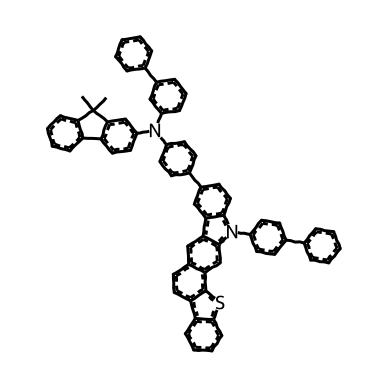 CC1(C)c2ccccc2-c2ccc(N(c3ccc(-c4ccc5c(c4)c4cc6ccc7c8ccccc8sc7c6cc4n5-c4ccc(-c5ccccc5)cc4)cc3)c3cccc(-c4ccccc4)c3)cc21